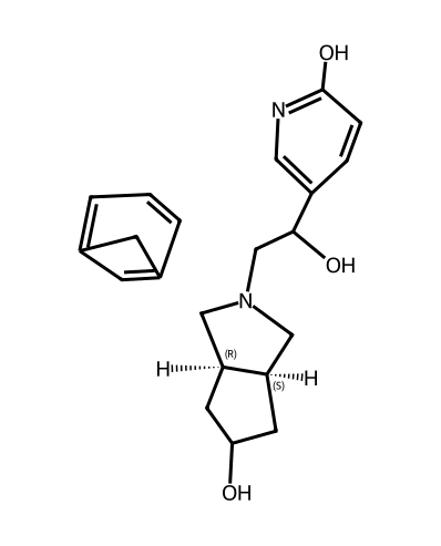 Oc1ccc(C(O)CN2C[C@H]3CC(O)C[C@H]3C2)cn1.c1cc2cc(c1)C2